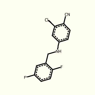 N#Cc1ccc(NCc2cc(F)ccc2F)cc1Cl